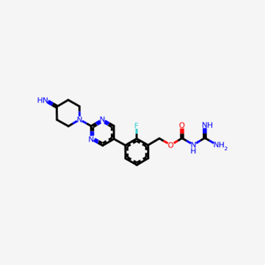 N=C1CCN(c2ncc(-c3cccc(COC(=O)NC(=N)N)c3F)cn2)CC1